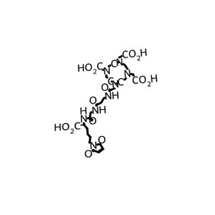 O=C(O)CN1CCN(CC(=O)O)CCN(CC(=O)NCCC(=O)NCC(=O)N[C@@H](CCCCN2C(=O)C=CC2=O)C(=O)O)CCN(CC(=O)O)CC1